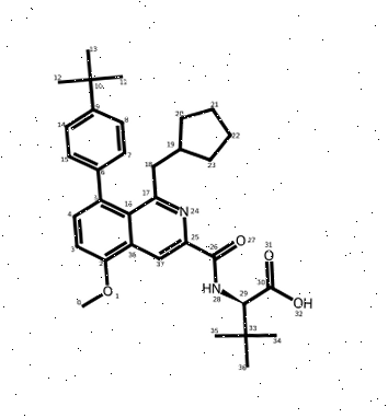 COc1ccc(-c2ccc(C(C)(C)C)cc2)c2c(CC3CCCC3)nc(C(=O)N[C@@H](C(=O)O)C(C)(C)C)cc12